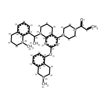 C=CC(=O)N1CCN(c2nc(Oc3cccc4c3CCN(C)C4)nc3c2CCCN3C(C)c2cccc3c2N(C)CCC3)CC1